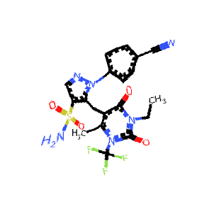 CCn1c(=O)c(-c2c(S(N)(=O)=O)cnn2-c2ccc(C#N)cc2)c(C)n(C(F)(F)F)c1=O